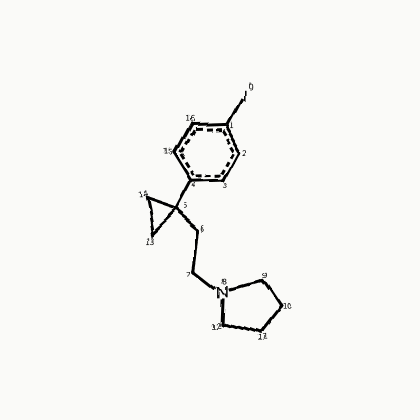 Ic1ccc(C2(CCN3CCCC3)CC2)cc1